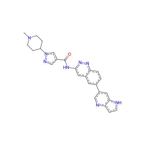 CN1CCC(n2cc(C(=O)Nc3cc4cc(-c5cnc6cc[nH]c6c5)ccc4nn3)cn2)CC1